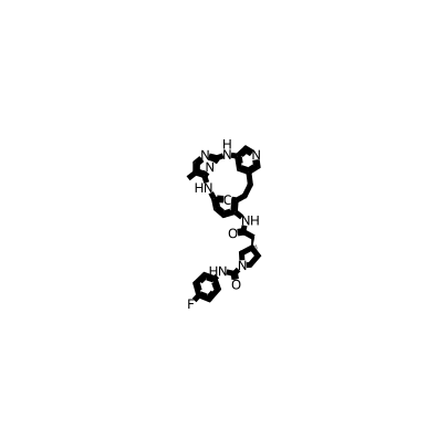 Cc1cnc2nc1Nc1ccc(NC(=O)C[C@H]3CCN(C(=O)Nc4ccc(F)cc4)C3)c(c1)CCc1cncc(c1)N2